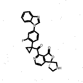 O=C1O[C@]2(CCNC2)c2ccnc(C(=O)C3(c4ccc(-n5cnc6ccccc65)cc4F)CC3)c21